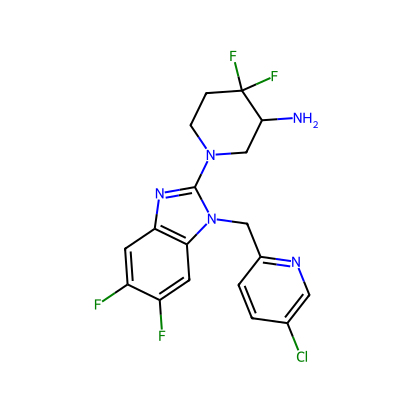 NC1CN(c2nc3cc(F)c(F)cc3n2Cc2ccc(Cl)cn2)CCC1(F)F